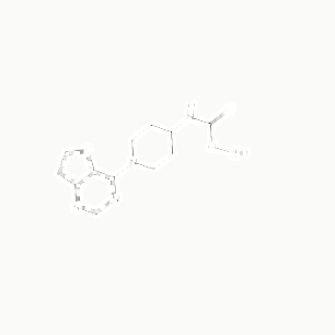 CC(C)(C)OC(=O)NC1CCN(c2ncnc3ccsc23)CC1